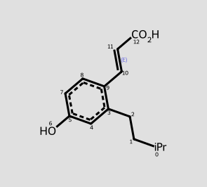 CC(C)CCc1cc(O)ccc1/C=C/C(=O)O